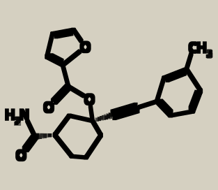 Cc1cccc(C#C[C@]2(OC(=O)c3ccco3)CCC[C@H](C(N)=O)C2)c1